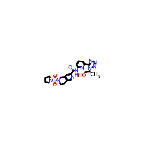 C[C@H](CO)n1nnnc1-c1cccc(NC(=O)c2cc3c(cn2)CCN(S(=O)(=O)N2CCCC2)C3)n1